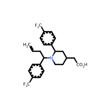 C=CCC(c1ccc(C(F)(F)F)cc1)N1CCC(CC(=O)O)CC1c1ccc(C(F)(F)F)cc1